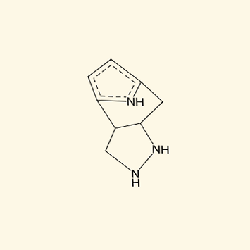 c1cc2[nH]c1CC1NNCC21